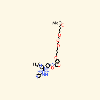 COC(=O)CCCCCOCCOCCOCCCCCCOc1ccc2c(c1)[C@@H](NC(=O)c1cccc(NC3(C(=N)NC(=N)c4ccncc4)CCN(C)CC3)c1)CCO2